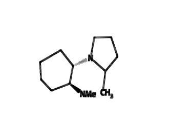 CN[C@H]1CCCC[C@@H]1N1CCCC1C